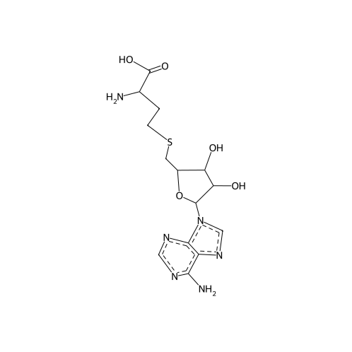 Nc1ncnc2c1ncn2C1OC(CSCCC(N)C(=O)O)C(O)C1O